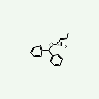 CC=C[SiH2]OC(c1ccccc1)c1ccccc1